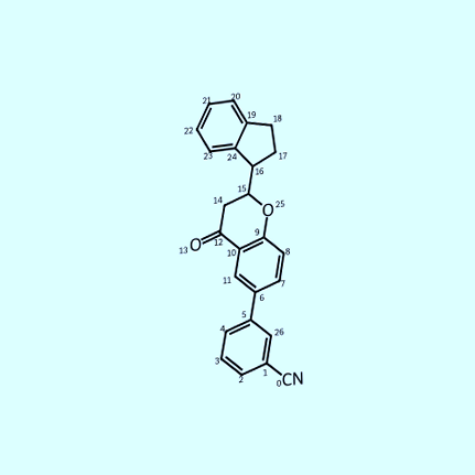 N#Cc1cccc(-c2ccc3c(c2)C(=O)CC(C2CCc4ccccc42)O3)c1